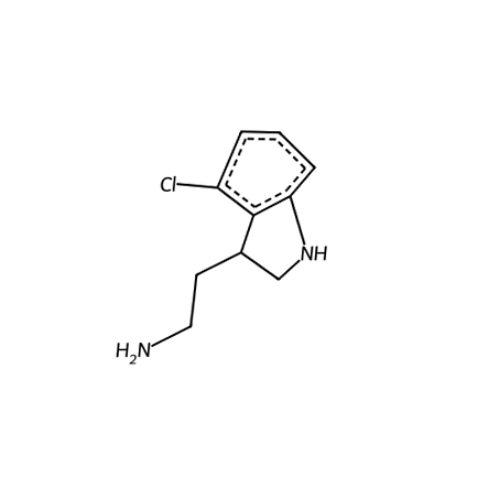 NCCC1CNc2cccc(Cl)c21